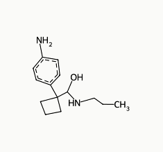 CCCNC(O)C1(c2ccc(N)cc2)CCC1